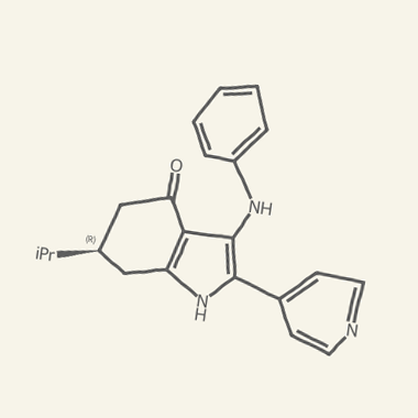 CC(C)[C@H]1CC(=O)c2c([nH]c(-c3ccncc3)c2Nc2ccccc2)C1